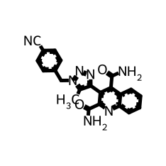 Cc1c(-c2c(C(N)=O)nc3ccccc3c2C(N)=O)nnn1Cc1ccc(C#N)cc1